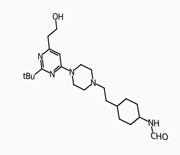 CC(C)(C)c1nc(CCO)cc(N2CCN(CCC3CCC(NC=O)CC3)CC2)n1